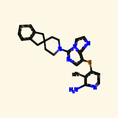 CCCc1c(Sc2cnc(N3CCC4(CC3)Cc3ccccc3C4)n3ccnc23)ccnc1N